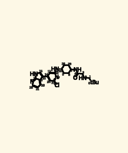 CC(C)(C)CNCC(=O)N[C@H]1CC[C@H](Nc2cc(-c3c[nH]c4ncccc34)cc(Cl)n2)CC1